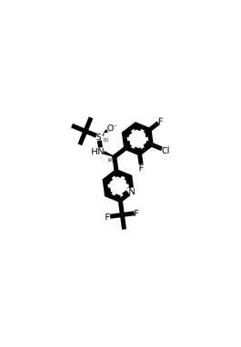 CC(F)(F)c1ccc([C@@H](N[S@+]([O-])C(C)(C)C)c2ccc(F)c(Cl)c2F)cn1